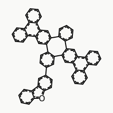 c1ccc2c(c1)-c1cc3c4ccccc4c4ccccc4c3cc1-c1ccc(-c3ccc4oc5ccccc5c4c3)cc1-c1cc3c4ccccc4c4ccccc4c3cc1-2